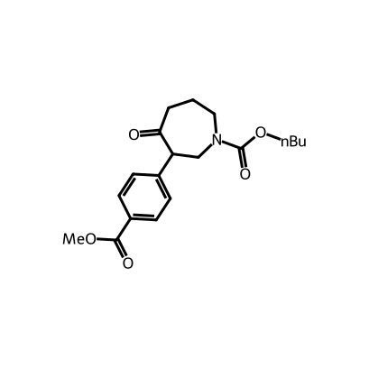 CCCCOC(=O)N1CCCC(=O)C(c2ccc(C(=O)OC)cc2)C1